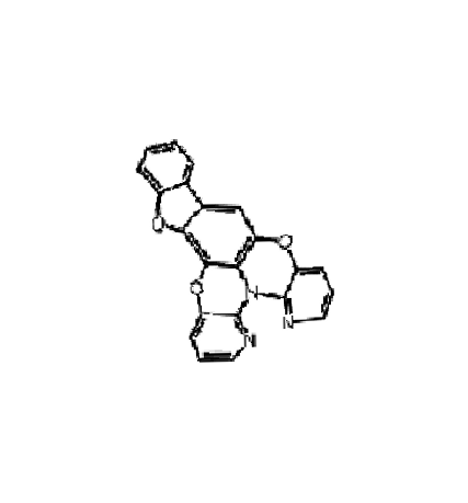 c1cnc2c(c1)Oc1cc3c(oc4ccccc43)c3c1N2c1ncccc1O3